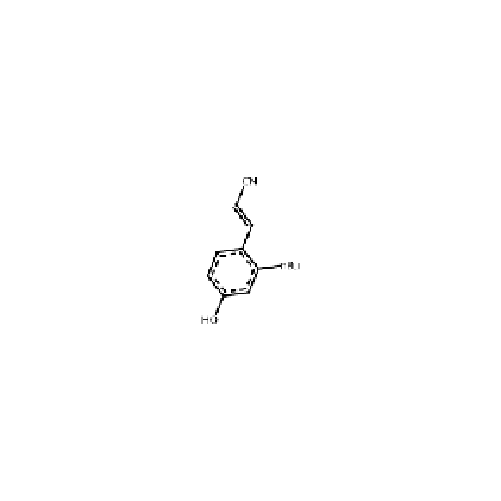 CCCCc1cc(O)ccc1/C=C/C#N